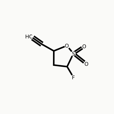 C#CC1CC(F)S(=O)(=O)O1